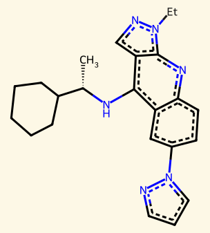 CCn1ncc2c(N[C@@H](C)C3CCCCC3)c3cc(-n4cccn4)ccc3nc21